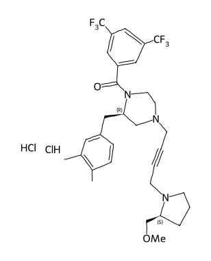 COC[C@@H]1CCCN1CC#CCN1CCN(C(=O)c2cc(C(F)(F)F)cc(C(F)(F)F)c2)[C@H](Cc2ccc(C)c(C)c2)C1.Cl.Cl